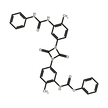 Cc1ccc(N2C(=O)N(c3ccc(C)c(NC(=O)Oc4ccccc4)c3)C2=O)cc1NC(=O)Nc1ccccc1